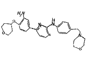 Nc1cc(-c2ccnc(Nc3ccc(CN4CCOCC4)cc3)n2)ccc1OC1CCOCC1